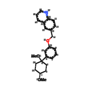 COC1CCC(OC)(c2cccc(OCc3ccc4ncccc4c3)c2)CC1